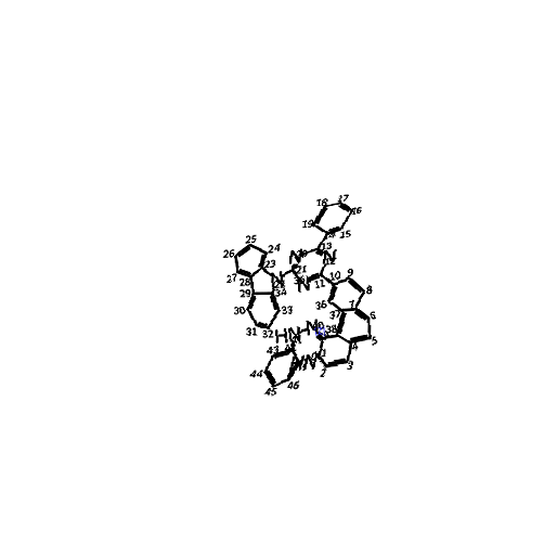 N=C1C=Cc2ccc3ccc(-c4nc(-c5ccccc5)nc(-n5c6ccccc6c6ccccc65)n4)cc3c2/C1=N/Nc1ccccc1